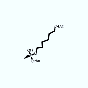 COP(O)(=S)OCCCCCCNC(C)=O